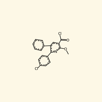 COc1nc(-c2ccc(Cl)cc2)c(-c2ccccc2)cc1C(=O)Cl